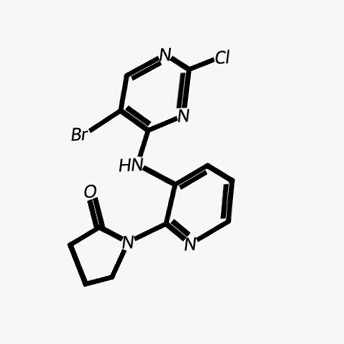 O=C1CCCN1c1ncccc1Nc1nc(Cl)ncc1Br